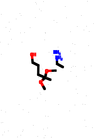 CCN.CO[Si](C)(CCCO)OC.N